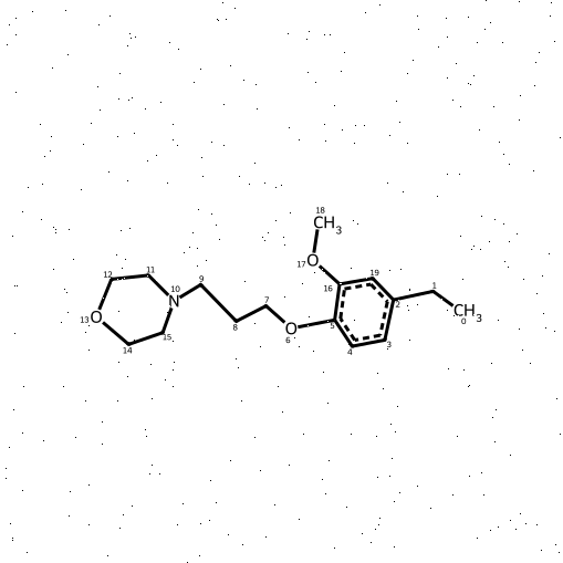 CCc1ccc(OCCCN2CCOCC2)c(OC)c1